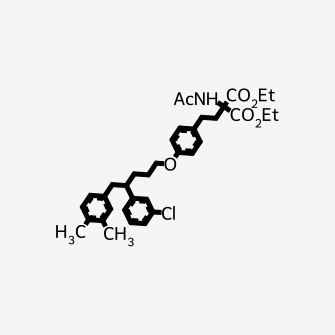 CCOC(=O)C(CCc1ccc(OCCCC(Cc2ccc(C)c(C)c2)c2cccc(Cl)c2)cc1)(NC(C)=O)C(=O)OCC